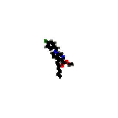 CCCC/C=C/c1c(C(=O)OCC)ncc2c1ccn2Cc1ccc(F)cc1